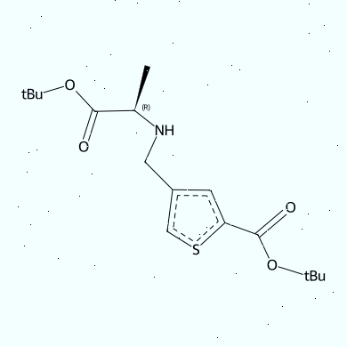 C[C@@H](NCc1csc(C(=O)OC(C)(C)C)c1)C(=O)OC(C)(C)C